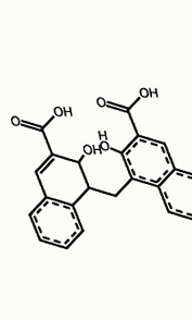 O=C(O)C1=Cc2ccccc2C(Cc2c(O)c(C(=O)O)cc3ccccc23)C1O